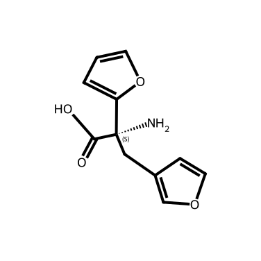 N[C@](Cc1ccoc1)(C(=O)O)c1ccco1